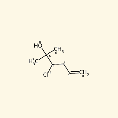 C=CCC(Cl)C(C)(C)O